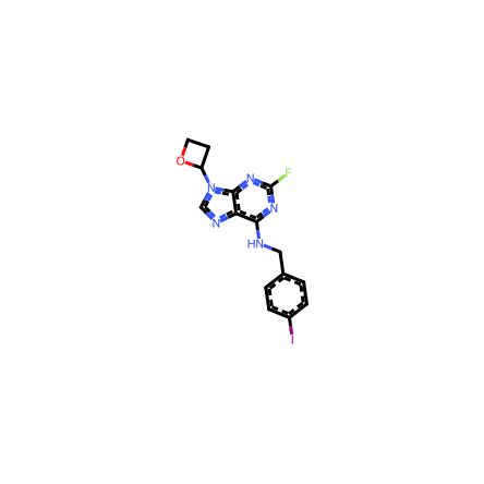 Fc1nc(NCc2ccc(I)cc2)c2ncn(C3CCO3)c2n1